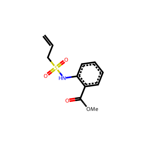 C=CCS(=O)(=O)Nc1ccccc1C(=O)OC